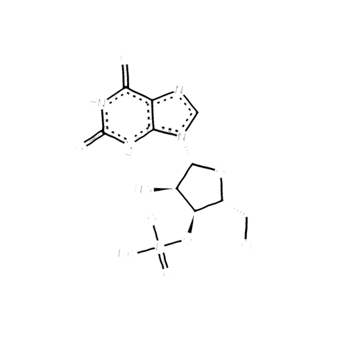 O=c1[nH]c(=O)c2ncn([C@@H]3O[C@H](CO)[C@@H](OP(=O)(O)O)[C@H]3O)c2[nH]1